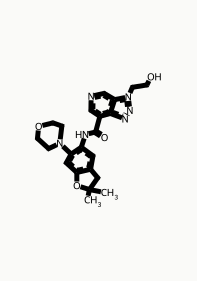 CC1(C)Cc2cc(NC(=O)c3cncc4c3nnn4CCO)c(N3CCOCC3)cc2O1